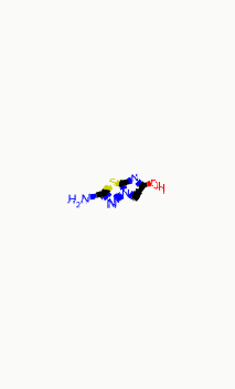 Nc1nn2cc(O)nc2s1